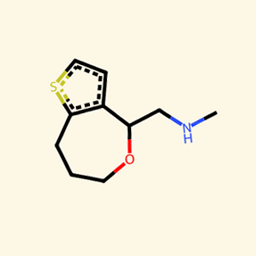 CNCC1OCCCc2sccc21